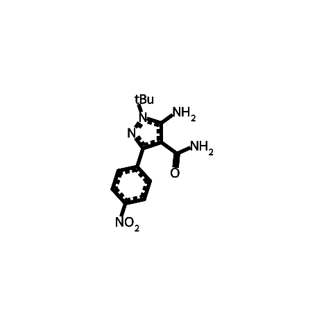 CC(C)(C)n1nc(-c2ccc([N+](=O)[O-])cc2)c(C(N)=O)c1N